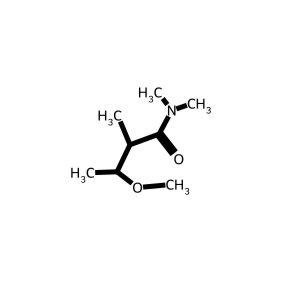 COC(C)C(C)C(=O)N(C)C